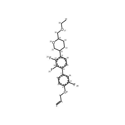 C=CCOc1ccc(-c2ccc(C3CCC(COCC)OC3)c(F)c2F)cc1F